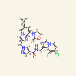 O=C(NCc1ncn2ccc(Cl)c(F)c12)c1cnn(Cc2cn3cc(C4CC4)cc(N4CCOC4=O)c3n2)c1